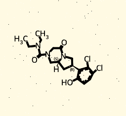 CCN(CC)C(=O)N1CC(=O)N2C[C@@H](c3c(O)ccc(Cl)c3Cl)C[C@H]2C1